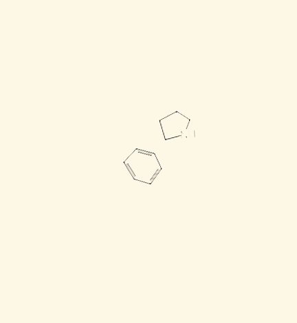 c1ccc([C@@H]2CCCN2)cc1